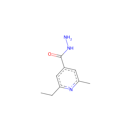 CCc1cc(C(=O)NN)cc(C)n1